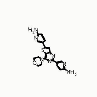 Nc1ccc(-c2nc(N3CCOCC3)c3sc(-c4ccc(N)nc4)cc3n2)cn1